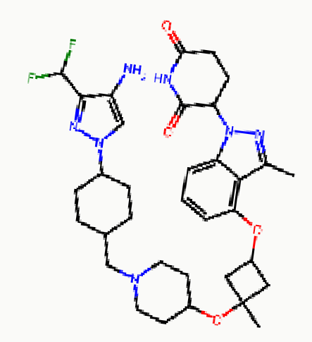 Cc1nn(C2CCC(=O)NC2=O)c2cccc(OC3CC(C)(OC4CCN(CC5CCC(n6cc(N)c(C(F)F)n6)CC5)CC4)C3)c12